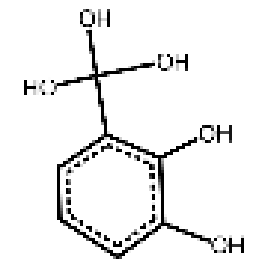 Oc1cccc(C(O)(O)O)c1O